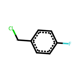 Fc1ccc([CH]Cl)cc1